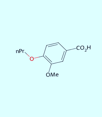 CCCOc1ccc(C(=O)O)cc1OC